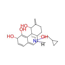 C=C1CC[C@@]2(O)[C@H]3C=C4C=CC(O)C(O)=C4[C@@]2(CC[N+]3(C)CC2CC2)C1O